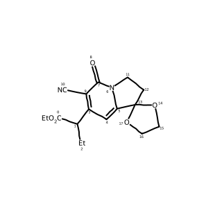 CCOC(=O)C(CC)c1cc2n(c(=O)c1C#N)CCC21OCCO1